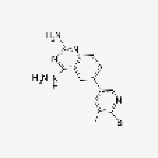 Cc1cc(-c2ccc3nc(N)nc(NN)c3c2)cnc1Br